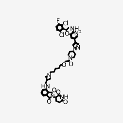 CC(Oc1cc(-c2cnn(C3CCN(C(=O)COCCCCCN4CC(CNc5cccc6c5C(=O)N(C5CCC(=O)NC5=O)C6=O)C4)CC3)c2)cnc1N)c1c(Cl)ccc(F)c1Cl